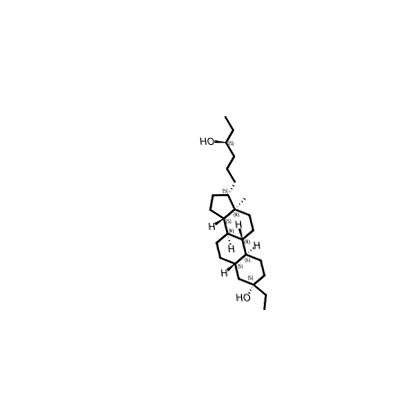 CC[C@H](O)CCC[C@H]1CC[C@H]2[C@@H]3CC[C@H]4C[C@](O)(CC)CC[C@@H]4[C@H]3CC[C@]12C